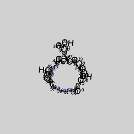 CO[C@H]1CC2CC[C@@H](C)[C@@](O)(O2)C(=O)C(=O)N2CCCCC2C(=O)O[C@H]([C@H](C)C[C@@H]2CCC(O)[C@H](OC)C2)CC(=O)[C@H](C)/C=C(\C)[C@@H](O)[C@@H](OC)C(=O)[C@H](C)C[C@H](C)/C=C/C=C/C=C/1C